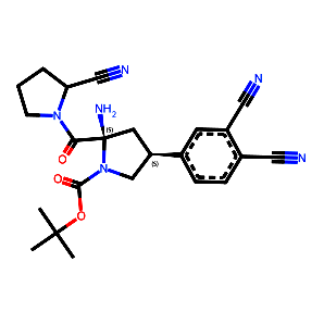 CC(C)(C)OC(=O)N1C[C@H](c2ccc(C#N)c(C#N)c2)C[C@@]1(N)C(=O)N1CCCC1C#N